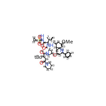 C=CC(C)[C@@H](NC(=O)[C@@H]1CC(OC2=CC(c3ccccc3)=NC34C=C(OC)CC(C)C3C24)CN1C(=O)C(CC(=O)N1CCCCC1)C(C)(C)C)C(=O)NS(=O)(=O)C1CC1